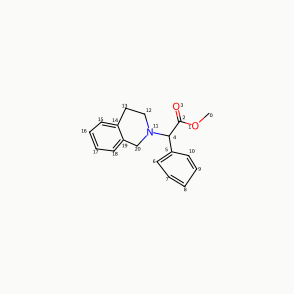 COC(=O)C(c1ccccc1)N1CCc2ccccc2C1